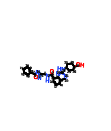 O=C(NCc1noc(-c2ccccc2)n1)c1cccc2cnc(N[C@H]3CC[C@H](O)CC3)nc12